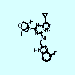 Fc1cccc2[nH]c(CNc3nc(N4C[C@@H]5C[C@H]4CO5)nc4c(C5CC5)cnn34)nc12